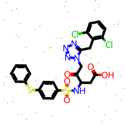 O=C(O)CC(NS(=O)(=O)c1ccc(Sc2ccccc2)cc1)C(=O)Cn1nnnc1Cc1c(Cl)cccc1Cl